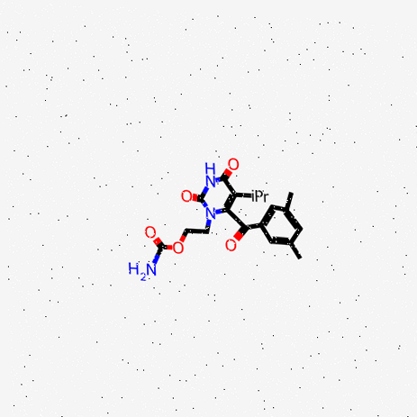 Cc1cc(C)cc(C(=O)c2c(C(C)C)c(=O)[nH]c(=O)n2CCOC(N)=O)c1